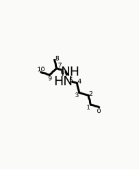 CCCCCNNC(C)CC